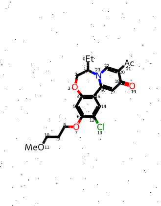 CCC1COc2cc(OCCCOC)c(Cl)cc2-c2cc(=O)c(C(C)=O)cn21